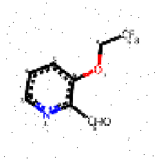 O=Cc1ncccc1OCC(F)(F)F